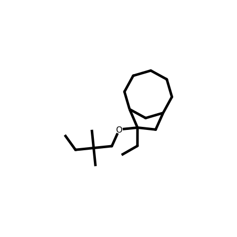 CCC(C)(C)COC1(CC)CC2CCCCCC1C2